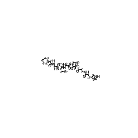 CC[C@@](C)(OC(=O)CCNC(=O)CCc1c[nH]nn1)C(=O)[C@H](CC(C)C)NC(=O)CNC(=O)[C@H](CC(C)C)NC(=O)CNC(=O)CN1CCOCC1